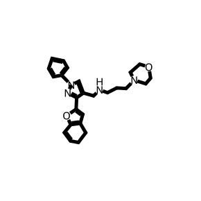 C1=Cc2oc(-c3nn(-c4ccccc4)cc3CNCCCN3CCOCC3)cc2CC1